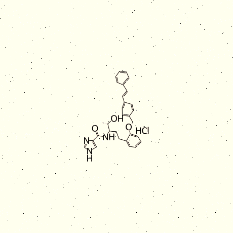 C[C@H](O)[C@@H](CCc1ccccc1OCc1ccc(C=Cc2ccccc2)cc1)NC(=O)c1c[nH]cn1.Cl